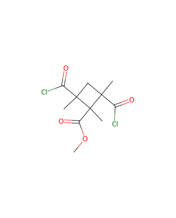 COC(=O)C1(C)C(C)(C(=O)Cl)CC1(C)C(=O)Cl